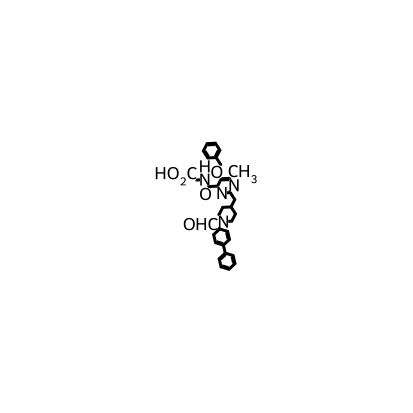 Cc1nc(CC2CCN(C3(C=O)C=CC(c4ccccc4)=CC3)CC2)nc(C(=O)NCC(=O)O)c1OCc1ccccc1